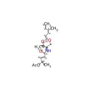 C=CC(C)=CC[C@H]1OC[C@@H](NC(=O)C=C[C@H](C)OC(C)=O)[C@@H](C)O1